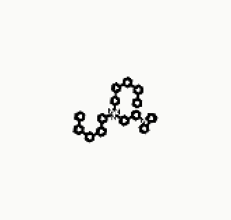 c1ccc(-c2cccc(-c3cccc(-c4cccc(-c5ccc(-c6nc(-c7cccc(-c8cccc(-c9cccc(-c%10cccc(-c%11ccccc%11)c%10)c9)c8)c7)nc(-c7cccc(-c8cccc(-n9c%10ccccc%10c%10ccccc%109)c8)c7)n6)cc5)c4)c3)c2)cc1